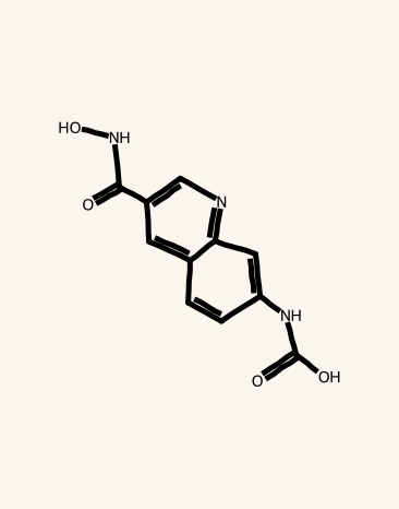 O=C(O)Nc1ccc2cc(C(=O)NO)cnc2c1